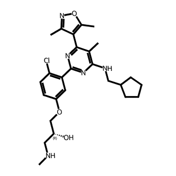 CNC[C@@H](O)COc1ccc(Cl)c(-c2nc(NCC3CCCC3)c(C)c(-c3c(C)noc3C)n2)c1